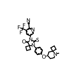 CN1CC[C@@H](Oc2ccc(N3C(=S)N(c4cnc(C#N)c(C(F)(F)F)c4)C(=O)C34CCC4)cc2)CC12CCC2